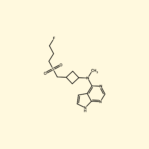 CN(c1ncnc2[nH]ccc12)C1CC(CS(=O)(=O)CCCF)C1